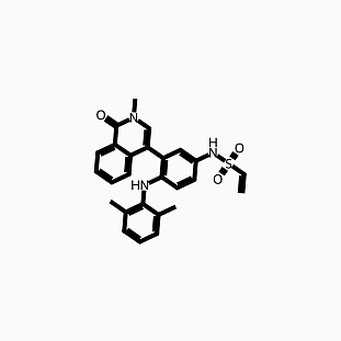 C=CS(=O)(=O)Nc1ccc(Nc2c(C)cccc2C)c(-c2cn(C)c(=O)c3ccccc23)c1